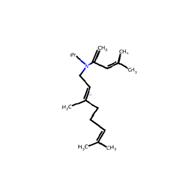 C=C(C=C(C)C)N(C/C=C(\C)CCC=C(C)C)C(C)C